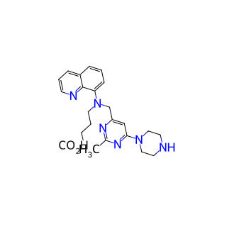 Cc1nc(CN(CCCC(=O)O)c2cccc3cccnc23)cc(N2CCNCC2)n1